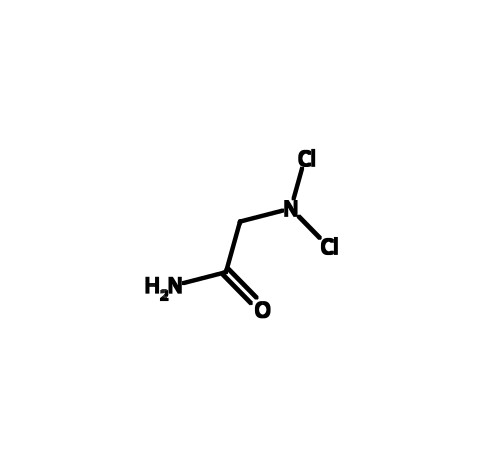 NC(=O)CN(Cl)Cl